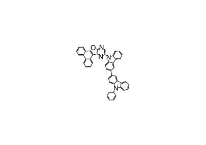 c1ccc(-n2c3ccccc3c3cc(-c4ccc5c(c4)c4ccccc4n5-c4cnc5oc6c7ccccc7c7ccccc7c6c5n4)ccc32)cc1